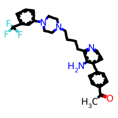 CC(=O)c1ccc(-c2ccnc(CCCCN3CCN(c4cccc(C(F)(F)F)c4)CC3)c2N)cc1